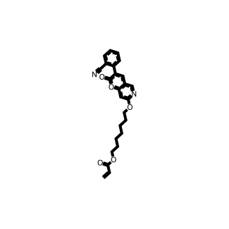 C=CC(=O)OCCCCCCCOc1cc2oc(=O)c(-c3ccccc3C#N)cc2cn1